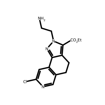 CCOC(=O)c1c2c(nn1CCN)-c1cc(Cl)ncc1CC2